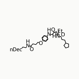 CCCCCCCCCCCCNC(=O)CCCOc1ccc(NCC(=O)N(CC)NC(=O)CCC2CCCC2)cc1